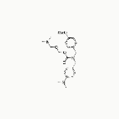 COc1ccc(CN(Cc2ccc(N(C)C)cc2)C(=O)OCOCN(C)C)cc1